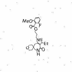 CCc1nn(CCCOC(=O)c2c(F)cccc2OC)c2c1C(=O)NCC1(CCOCC1)C2